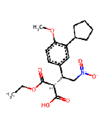 CCOC(=O)[C@@H](C(=O)O)C(C[N+](=O)[O-])c1ccc(OC)c(C2CCCC2)c1